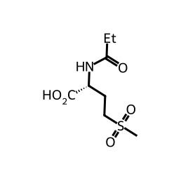 CCC(=O)N[C@H](CCS(C)(=O)=O)C(=O)O